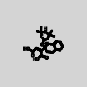 CC1(C)CC(OC2(C(=CC(=O)O)C(=O)O)C=Cc3ccccc3N2)CC(C)(C)N1